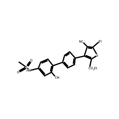 CCOC(=O)c1sc(CC)c(C#N)c1-c1ccc(-c2ccc(NS(C)(=O)=O)cc2C#N)cc1